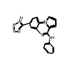 c1ccc(Nc2nc3cc(-c4nnn[nH]4)ccc3n3cccc23)cc1